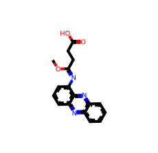 COC(CCC(=O)O)=Nc1cccc2nc3ccccc3nc12